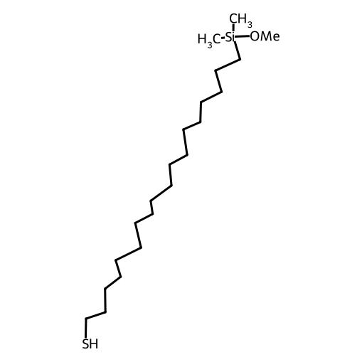 CO[Si](C)(C)CCCCCCCCCCCCCCCCCCS